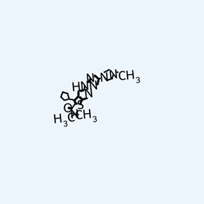 CCN1CCN(c2cnc(Nc3cc4c(C5CCCC5)c(C(=O)N(C)C)sc4cn3)nc2)CC1